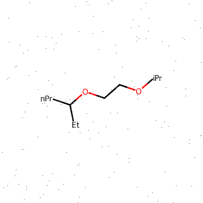 CCCC(CC)OCCOC(C)C